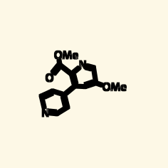 COC(=O)c1ncc(OC)cc1-c1ccncc1